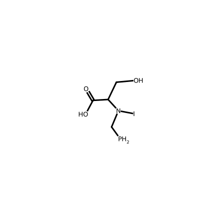 O=C(O)C(CO)N(I)CP